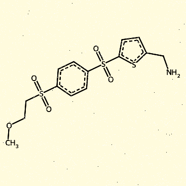 COCCS(=O)(=O)c1ccc(S(=O)(=O)c2ccc(CN)s2)cc1